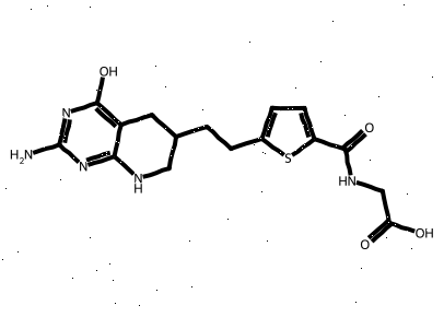 Nc1nc(O)c2c(n1)NCC(CCc1ccc(C(=O)NCC(=O)O)s1)C2